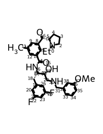 CCN1CCC[C@H]1C(=O)c1cc(C)cc(C(=O)N[C@@H](Cc2cc(F)cc(F)c2)[C@H](O)CNCc2cccc(OC)c2)c1